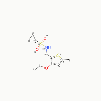 CCOc1cc(C)sc1CNS(=O)(=O)C1CC1